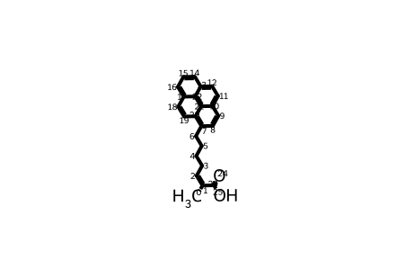 CC(=CCCCCc1ccc2ccc3cccc4ccc1c2c34)C(=O)O